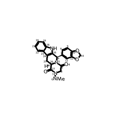 CNN1CC(=O)N2[C@H](c3ccc4c(c3)OCO4)c3[nH]c4ccccc4c3C[C@@H]2C1=O